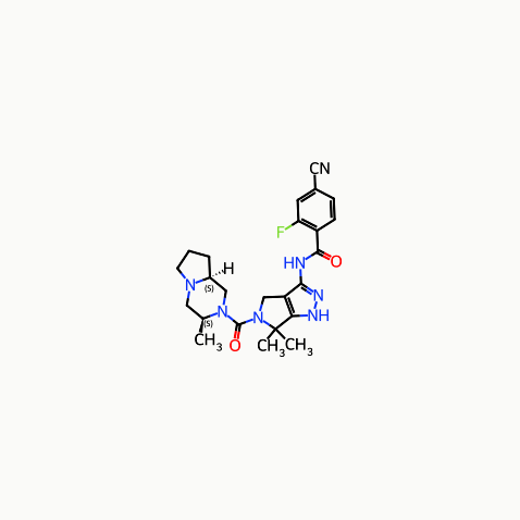 C[C@H]1CN2CCC[C@H]2CN1C(=O)N1Cc2c(NC(=O)c3ccc(C#N)cc3F)n[nH]c2C1(C)C